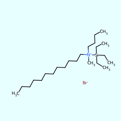 CCCCCCCCCCCC[N+](C)(CCCC)[Si](CC)(CC)CC.[Br-]